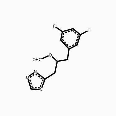 O=COC(Cc1cc(F)cc(F)c1)Cc1ncon1